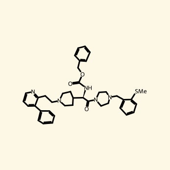 CSc1ccccc1CN1CCN(C(=O)[C@H](NC(=O)OCc2ccccc2)C2CCN(CCc3ncccc3-c3ccccc3)CC2)CC1